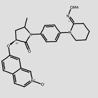 CO/N=C1\CCCCN1c1ccc(N2C(=O)[C@@H](Oc3ccc4cc[n+]([O-])cc4c3)CC2C)cc1